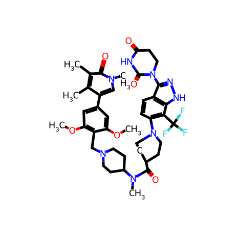 COc1cc(-c2cn(C)c(=O)c(C)c2C)cc(OC)c1CN1CCC(N(C)C(=O)C2CCN(c3ccc4c(N5CCC(=O)NC5=O)n[nH]c4c3C(F)(F)F)CC2)CC1